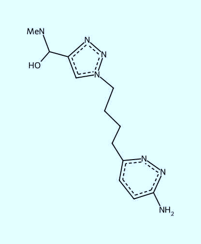 CNC(O)c1cn(CCCCc2ccc(N)nn2)nn1